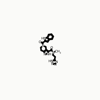 CN(CCc1nnn[nH]1)C(=O)c1[nH]nc2c1CN(C(=O)c1cc3ccccc3[nH]1)CC2